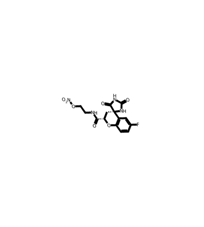 O=C1NC(=O)[C@@]2(C[C@@H](C(=O)NCCO[N+](=O)[O-])Oc3ccc(F)cc32)N1